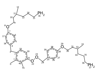 Cc1c(Cc2ccc(OCCC(C)CCCP)cc2)ccc(OOCc2ccc(OCCC(C)CCCP)cc2)c1C